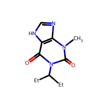 CCC(CC)n1c(=O)c2[nH]cnc2n(C)c1=O